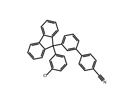 N#Cc1ccc(-c2cccc(C3(c4cccc(Cl)c4)c4ccccc4-c4ccccc43)c2)cc1